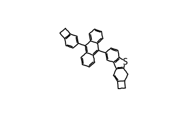 C1=C2CCC2Cc2sc3ccc(-c4c5ccccc5c(-c5ccc6c(c5)CC6)c5ccccc45)cc3c21